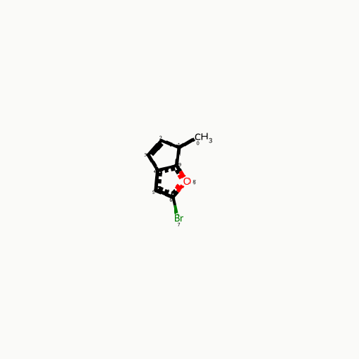 CC1C=Cc2cc(Br)oc21